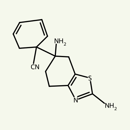 N#CC1(C2(N)CCc3nc(N)sc3C2)C=CC=CC1